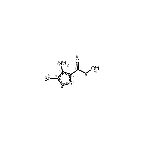 Nc1c(Br)csc1C(=O)CO